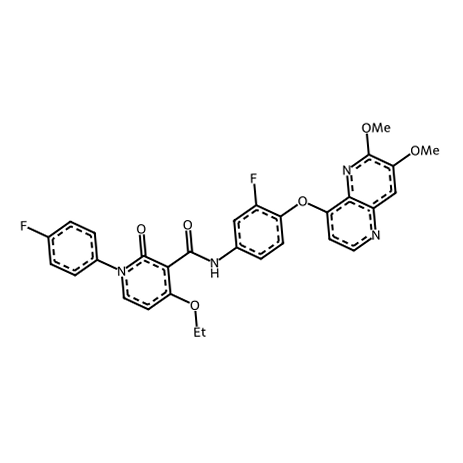 CCOc1ccn(-c2ccc(F)cc2)c(=O)c1C(=O)Nc1ccc(Oc2ccnc3cc(OC)c(OC)nc23)c(F)c1